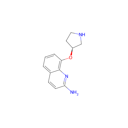 Nc1ccc2cccc(O[C@H]3CCNC3)c2n1